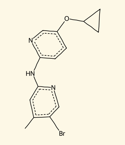 Cc1cc(Nc2ccc(OC3CC3)cn2)ncc1Br